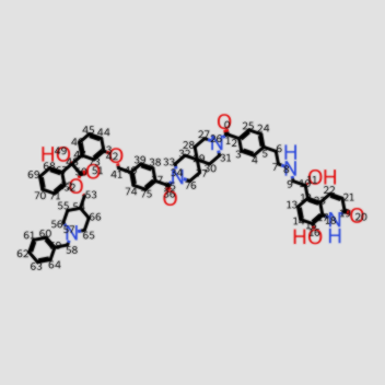 O=C(c1ccc(CCNC[C@H](O)c2ccc(O)c3[nH]c(=O)ccc23)cc1)N1CCC2(CC1)CCN(C(=O)c1ccc(COc3cccc(C(O)(C(=O)OCC4CCN(Cc5ccccc5)CC4)c4ccccc4)c3)cc1)CC2